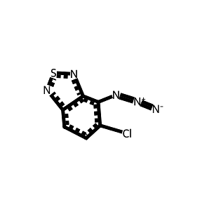 [N-]=[N+]=Nc1c(Cl)ccc2nsnc12